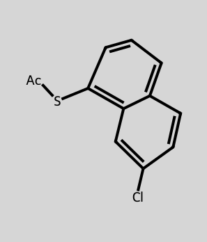 CC(=O)Sc1cccc2ccc(Cl)cc12